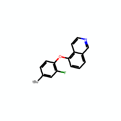 CC(C)(C)c1ccc(Oc2cccc3cnccc23)c(F)c1